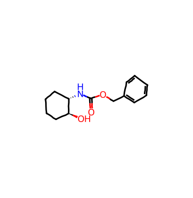 O=C(N[C@H]1CCCC[C@@H]1O)OCc1ccccc1